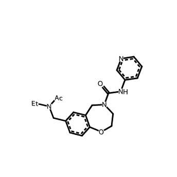 CCN(Cc1ccc2c(c1)CN(C(=O)Nc1cccnc1)CCO2)C(C)=O